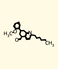 CCCCCCc1ccc2c(n1)CC(c1ccccc1OC)CC2C=O